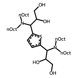 CCCCCCCCN(CCCCCCCC)C(c1ccc(C(C(O)CO)N(CCCCCCCC)CCCCCCCC)s1)C(O)CO